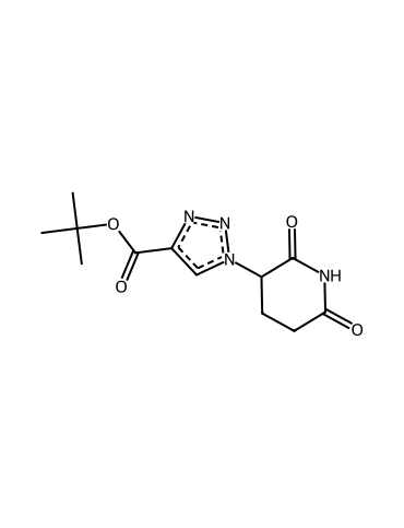 CC(C)(C)OC(=O)c1cn(C2CCC(=O)NC2=O)nn1